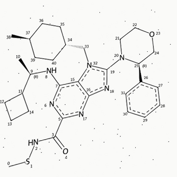 CSNC(=O)c1nc(N[C@H](C)C2CCC2)c2c(n1)nc(N1CCOC[C@H]1c1ccccc1)n2C[C@H]1CC[C@H](C)CC1